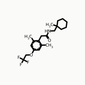 Cc1cc(OCC(F)(F)F)cc(C)c1CC(=O)NCC1(C)CCCCC1